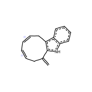 C=C1C/C=C\C=C/Cc2c1[nH]c1ccccc21